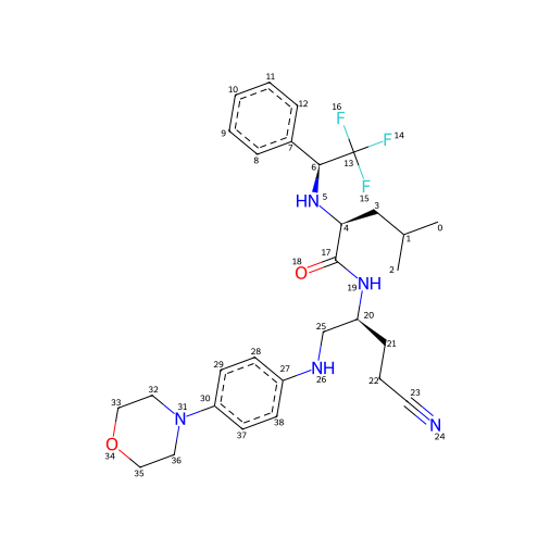 CC(C)C[C@H](N[C@@H](c1ccccc1)C(F)(F)F)C(=O)N[C@@H](CCC#N)CNc1ccc(N2CCOCC2)cc1